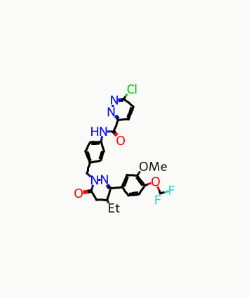 CCC1CC(=O)N(Cc2ccc(NC(=O)c3ccc(Cl)nn3)cc2)N=C1c1ccc(OC(F)F)c(OC)c1